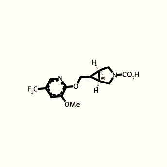 COc1cc(C(F)(F)F)cnc1OCC1[C@H]2CN(C(=O)O)C[C@@H]12